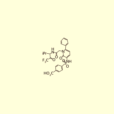 CC(C)C(NC(=O)Cn1c(-c2ccccc2)ccc(NS(=O)(=O)c2ccc(C(=O)O)cc2)c1=O)C(=O)C(F)(F)F